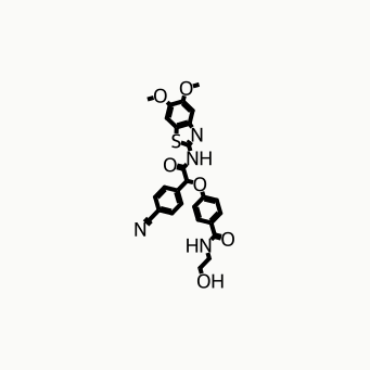 COc1cc2nc(NC(=O)C(Oc3ccc(C(=O)NCCO)cc3)c3ccc(C#N)cc3)sc2cc1OC